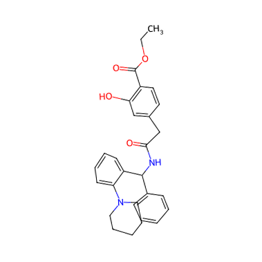 CCOC(=O)c1ccc(CC(=O)NC(c2ccccc2)c2ccccc2N2CCCCC2)cc1O